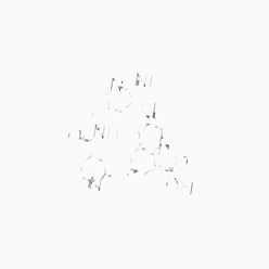 Cc1nc(N)ccc1CNC(=O)c1ccnc(Cc2cc(C(=O)O)c3ncc(Cl)cc3c2)c1